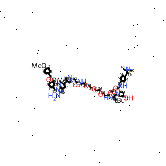 COc1ccc(COc2ccc(Cn3c(N)nc4cc(-c5cnn(CC(=O)NCCOCCOCCOCCC(=O)N[C@H](C(=O)N6C[C@H](O)C[C@H]6C(=O)NCc6ccc(-c7scnc7C)cc6)C(C)(C)C)c5)cnc43)cc2OC)cc1